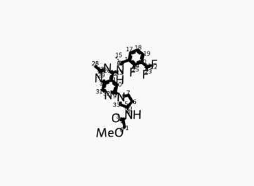 COCC(=O)N[C@@H]1CCN(c2cc3c(N[C@H](C)c4cccc(C(F)F)c4F)nc(C)nc3cn2)C1